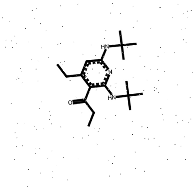 CCC(=O)c1c(CC)cc(NC(C)(C)C)nc1NC(C)(C)C